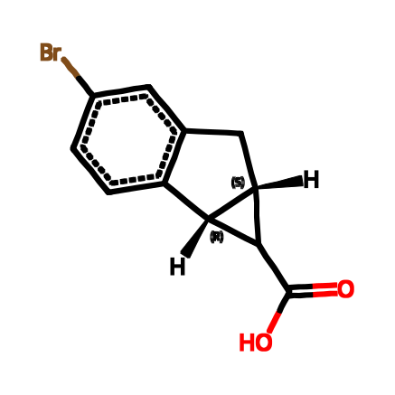 O=C(O)C1[C@H]2Cc3cc(Br)ccc3[C@@H]12